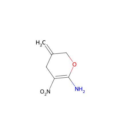 C=C1COC(N)=C([N+](=O)[O-])C1